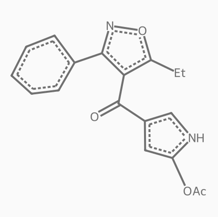 CCc1onc(-c2ccccc2)c1C(=O)c1c[nH]c(OC(C)=O)c1